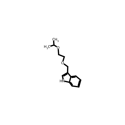 CC(C)OCCOCc1c[nH]c2ccccc12